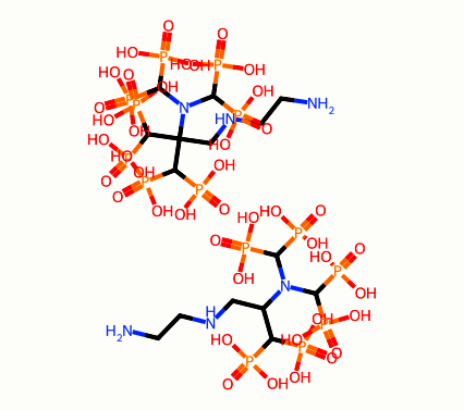 NCCNCC(C(P(=O)(O)O)P(=O)(O)O)(C(P(=O)(O)O)P(=O)(O)O)N(C(P(=O)(O)O)P(=O)(O)O)C(P(=O)(O)O)P(=O)(O)O.NCCNCC(C(P(=O)(O)O)P(=O)(O)O)N(C(P(=O)(O)O)P(=O)(O)O)C(P(=O)(O)O)P(=O)(O)O